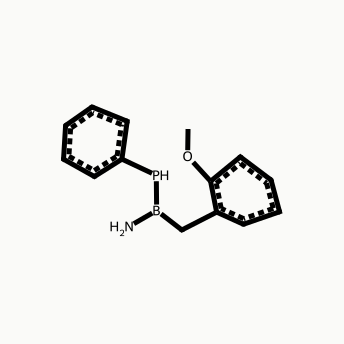 COc1ccccc1CB(N)Pc1ccccc1